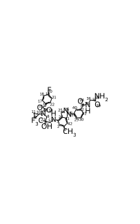 Cc1cc(NCC(O)(CN(C2CC2)S(=O)(=O)c2ccc(F)cc2)C(F)(F)F)c2cnn(-c3cccc(C(=O)NCC(N)=O)c3)c2c1